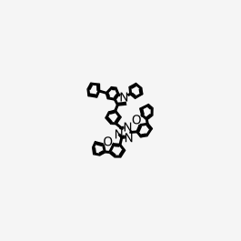 c1ccc(-c2ccc3c(c2)c(-c2cccc(-c4nc(-c5cccc6c5oc5ccccc56)nc(-c5cccc6c5oc5ccccc56)n4)c2)cn3-c2ccccc2)cc1